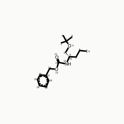 CC(C)(C)OC[C@H](CCI)NC(=O)OCc1ccccc1